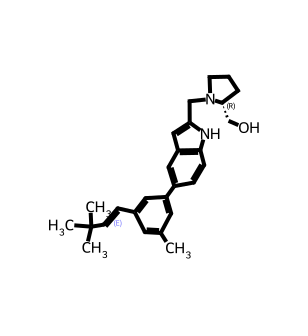 Cc1cc(/C=C/C(C)(C)C)cc(-c2ccc3[nH]c(CN4CCC[C@@H]4CO)cc3c2)c1